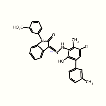 Cc1cccc(-c2cc(Cl)c(C)c(N/N=C3\C(=O)N(c4cccc(C(=O)O)c4)c4ccccc43)c2O)c1